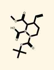 C=CC1CCN(C(=O)OC(C)(C)C)N(C(=O)O)C1C(=O)OC